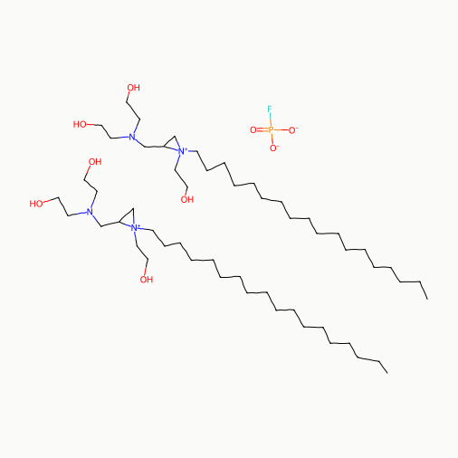 CCCCCCCCCCCCCCCCCC[N+]1(CCO)CC1CN(CCO)CCO.CCCCCCCCCCCCCCCCCC[N+]1(CCO)CC1CN(CCO)CCO.O=P([O-])([O-])F